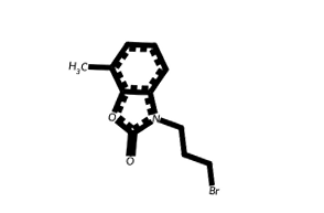 Cc1cccc2c1oc(=O)n2CCCBr